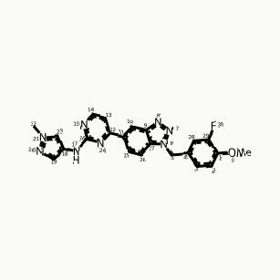 COc1ccc(Cn2nnc3cc(-c4ccnc(Nc5cnn(C)c5)n4)ccc32)cc1F